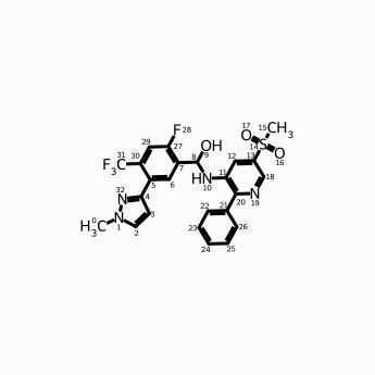 Cn1ccc(-c2cc(C(O)Nc3cc(S(C)(=O)=O)cnc3-c3ccccc3)c(F)cc2C(F)(F)F)n1